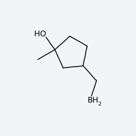 BCC1CCC(C)(O)C1